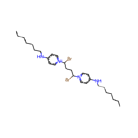 CCCCCCCNc1cc[n+](C(Br)CCC(Br)[n+]2ccc(NCCCCCCC)cc2)cc1